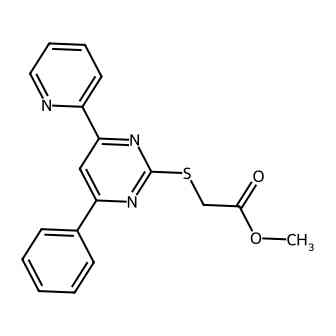 COC(=O)CSc1nc(-c2ccccc2)cc(-c2ccccn2)n1